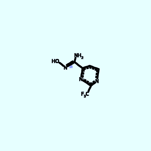 N/C(=N\O)c1ccnc(C(F)(F)F)n1